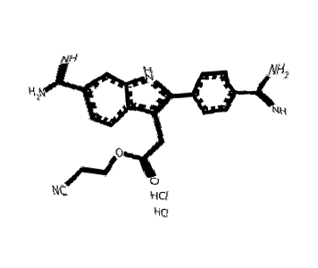 Cl.Cl.N#CCCOC(=O)Cc1c(-c2ccc(C(=N)N)cc2)[nH]c2cc(C(=N)N)ccc12